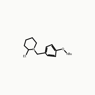 CCCCOc1ccc(CN2CCCCC2CC)cc1